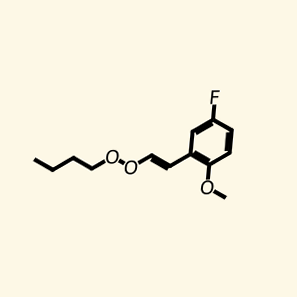 CCCCOOC=Cc1cc(F)ccc1OC